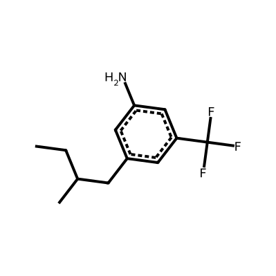 CCC(C)Cc1cc(N)cc(C(F)(F)F)c1